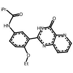 CCOc1ccc(NC(=O)C(C)C)cc1-c1nc2cccnc2c(=O)[nH]1